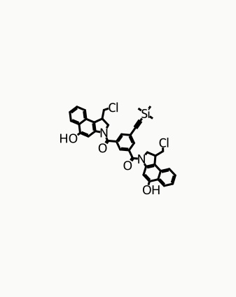 C[Si](C)(C)C#Cc1cc(C(=O)N2CC(CCl)c3c2cc(O)c2ccccc32)cc(C(=O)N2CC(CCl)c3c2cc(O)c2ccccc32)c1